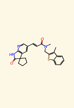 Cc1c(CN(C)C(=O)C=Cc2cnc3c(c2)C2(CCCC2)C(=O)N3)sc2ccccc12